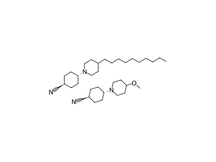 CCCCCCCCCCC1CCN([C@H]2CC[C@H](C#N)CC2)CC1.COC1CCN([C@H]2CC[C@H](C#N)CC2)CC1